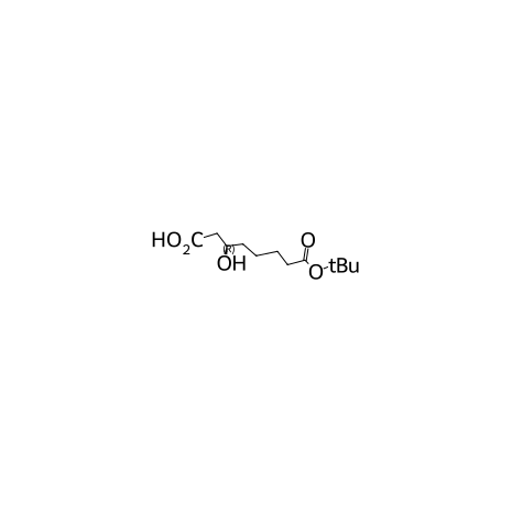 CC(C)(C)OC(=O)CCCC[C@@H](O)CC(=O)O